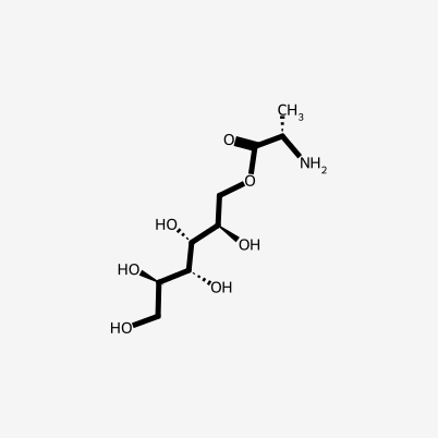 C[C@H](N)C(=O)OC[C@@H](O)[C@@H](O)[C@H](O)[C@H](O)CO